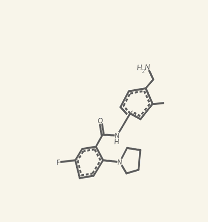 Cc1cc(NC(=O)c2cc(F)ccc2N2CCCC2)ccc1CN